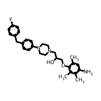 Cc1cc(N)c(C)c(C)c1OCC(O)CN1CCN(c2ccc(Cc3ccc(F)cc3)cc2)CC1